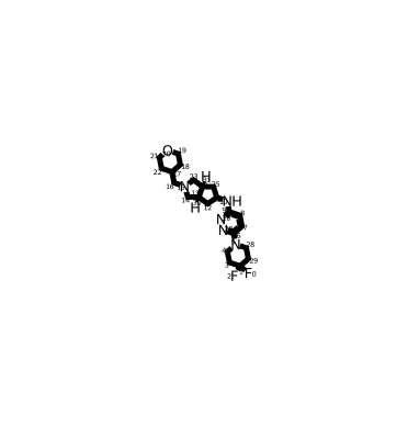 FC1(F)CCN(c2ccc(NC3C[C@@H]4CN(CC5CCOCC5)C[C@@H]4C3)nn2)CC1